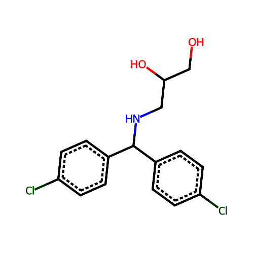 OCC(O)CNC(c1ccc(Cl)cc1)c1ccc(Cl)cc1